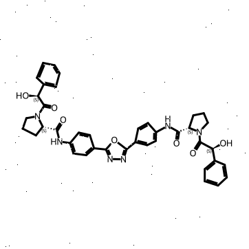 O=C(Nc1ccc(-c2nnc(-c3ccc(NC(=O)[C@@H]4CCCN4C(=O)[C@@H](O)c4ccccc4)cc3)o2)cc1)[C@@H]1CCCN1C(=O)[C@@H](O)c1ccccc1